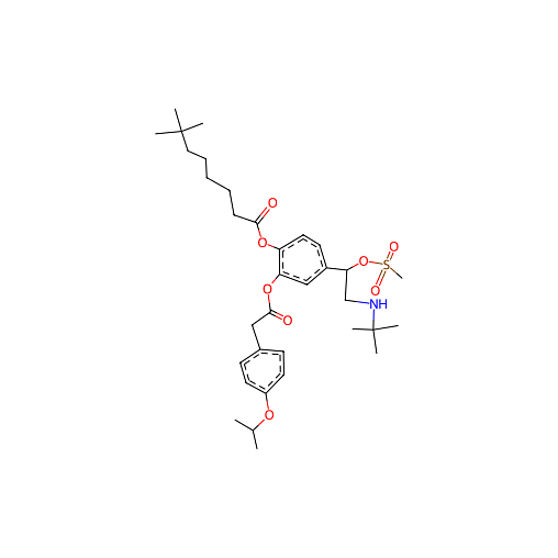 CC(C)Oc1ccc(CC(=O)Oc2cc(C(CNC(C)(C)C)OS(C)(=O)=O)ccc2OC(=O)CCCCCC(C)(C)C)cc1